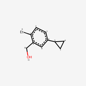 CCc1ccc(C2CC2)cc1CO